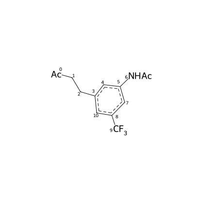 CC(=O)CCc1cc(NC(C)=O)cc(C(F)(F)F)c1